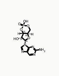 Nc1ncc2ncn([C@@H]3O[C@@H]4COP(=O)(O)O[C@H]4[C@H]3O)c2n1